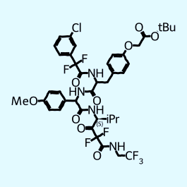 COc1ccc(C(NC(=O)C(Cc2ccc(OCC(=O)OC(C)(C)C)cc2)NC(=O)C(F)(F)c2cccc(Cl)c2)C(=O)N[C@H](C(=O)C(F)(F)C(=O)NCC(F)(F)F)C(C)C)cc1